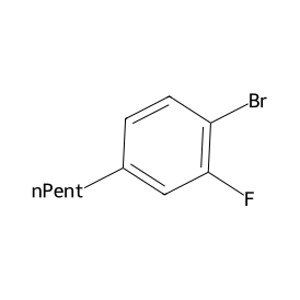 CCCCCc1ccc(Br)c(F)c1